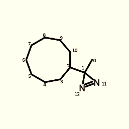 CC1(C2CCCCCCCC2)N=N1